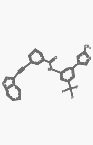 Cc1cn(-c2cc(NC(=O)c3cccc(C#Cc4cnc5ccccn45)c3)cc(C(F)(F)F)c2)cn1